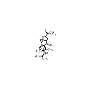 C=C(C)NC(=C)/C(C)=C(\N=C/N)N(C)[C@@H]1CN(C(C)=S)CC12CC2